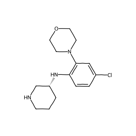 Clc1ccc(N[C@@H]2CCCNC2)c(N2CCOCC2)c1